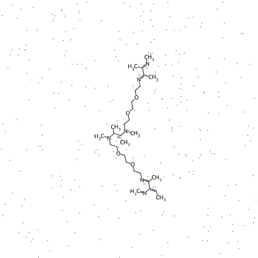 C=NC(=C\C)/C(C)=N/CCOCCOCCN(C)C(C)[C@@H](C)N(C)CCOCCOCC/N=C(C)/C(C)=N/C